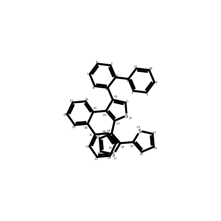 c1ccc(-c2ccccc2-c2csc(-c3ccsc3-c3cccs3)c2-c2ccccc2-c2ccccc2)cc1